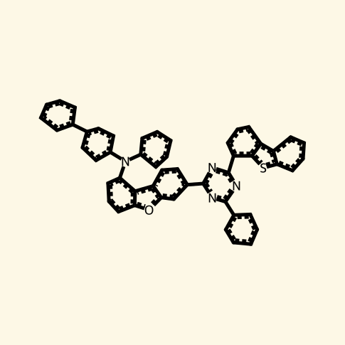 c1ccc(-c2ccc(N(c3ccccc3)c3cccc4oc5cc(-c6nc(-c7ccccc7)nc(-c7cccc8c7sc7ccccc78)n6)ccc5c34)cc2)cc1